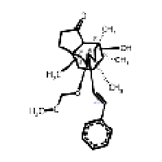 COCO[C@H]1[C@H](C)C23CCC(=O)C2[C@@](C)([C@H](C)CC3)[C@H](O)C[C@@]1(C)/C=C/c1ccccc1